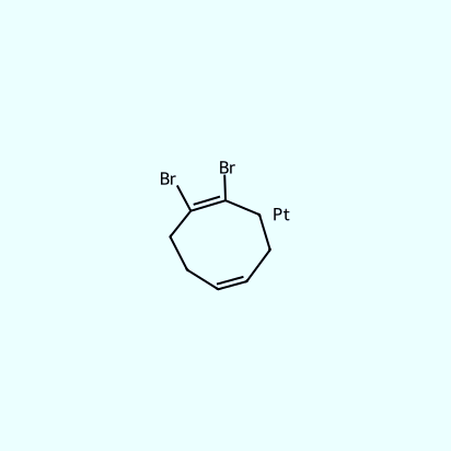 BrC1=C(Br)CCC=CCC1.[Pt]